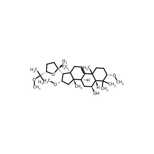 CO[C@H]1C[C@@]2(C)[C@@H]3C[C@H](O)[C@@H]4C(C)(CC[C@H](OC)C4(C)C)C3=CC[C@]2(C)[C@H]1[C@@]1(C)CC[C@@H](C(C)(C)OC)O1